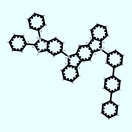 c1ccc(-c2ccc(-c3cccc(-n4c5ccccc5c5cc6c(cc54)c4ccccc4n6-c4ccc5c(c4)nc(-c4ccccc4)n5-c4ccccc4)c3)cc2)cc1